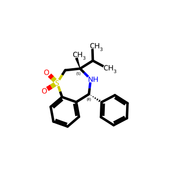 CC(C)[C@@]1(C)CS(=O)(=O)c2ccccc2[C@@H](c2ccccc2)N1